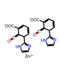 O=C=C1C(C(=O)[O-])=CC=CC1c1ncc[nH]1.O=C=C1C(C(=O)[O-])=CC=CC1c1ncc[nH]1.[Zn+2]